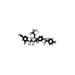 N#Cc1ccc(NC(=O)Nc2nc3cc(NC(=O)c4ccc(F)cc4)ccc3n2CCC(N)=O)c(F)c1